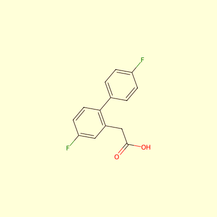 O=C(O)Cc1cc(F)ccc1-c1ccc(F)cc1